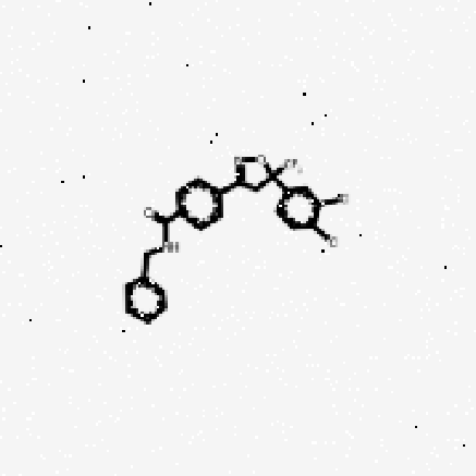 O=C(NCc1ccccc1)c1ccc(C2=NOC(c3ccc(Cl)c(Cl)c3)(C(F)(F)F)C2)cc1